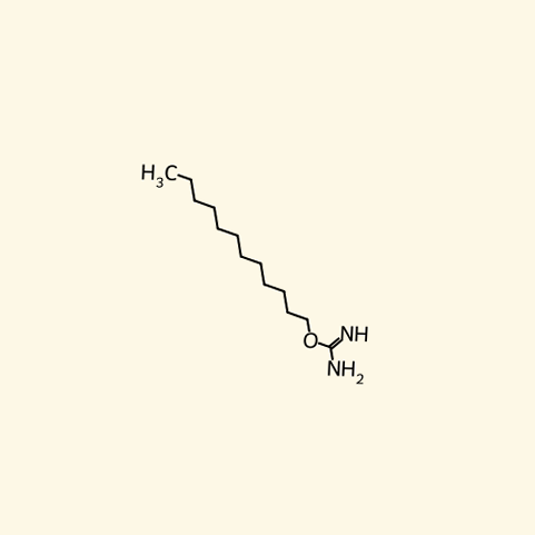 CCCCCCCCCCCCOC(=N)N